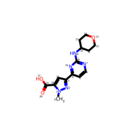 Cn1nc(-c2ccnc(NC3CCOCC3)n2)cc1C(=O)O